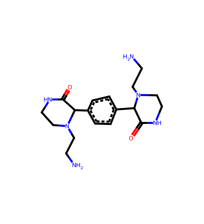 NCCN1CCNC(=O)C1c1ccc(C2C(=O)NCCN2CCN)cc1